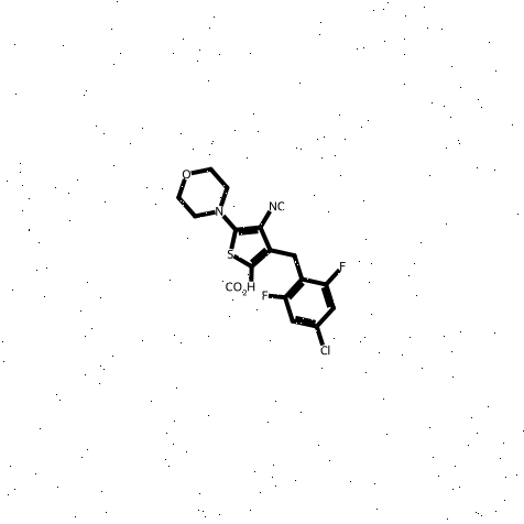 [C-]#[N+]c1c(N2CCOCC2)sc(C(=O)O)c1Cc1c(F)cc(Cl)cc1F